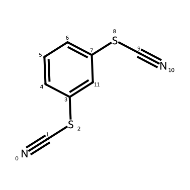 N#CSc1cccc(SC#N)c1